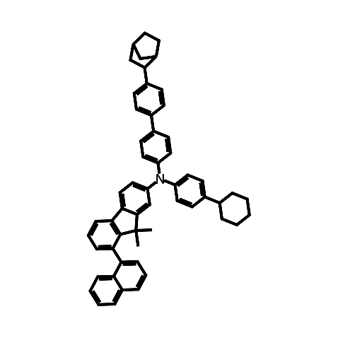 CC1(C)c2cc(N(c3ccc(-c4ccc(C5CC6CCC5C6)cc4)cc3)c3ccc(C4CCCCC4)cc3)ccc2-c2cccc(-c3cccc4ccccc34)c21